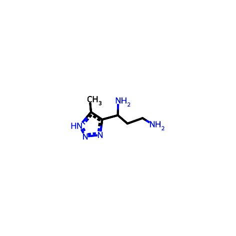 Cc1[nH]nnc1C(N)CCN